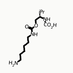 CC(C)[C@H](COC(=O)NCCCCCCN)NC(=O)O